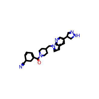 N#CC1C=CC=C(C(=O)N2CCC(Cn3ccc4cc(C5C=NNC5)cnc43)CC2)C1